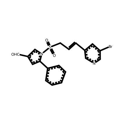 O=Cc1cc(-c2ccccc2)n(S(=O)(=O)CC=Cc2cncc(Br)c2)c1